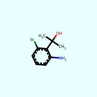 CC(C)(O)c1c(N)cccc1Br